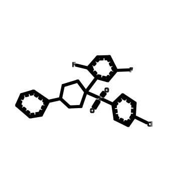 O=S(=O)(c1ccc(Cl)cc1)C1(c2cc(F)ccc2F)CCC(c2ccccc2)CC1